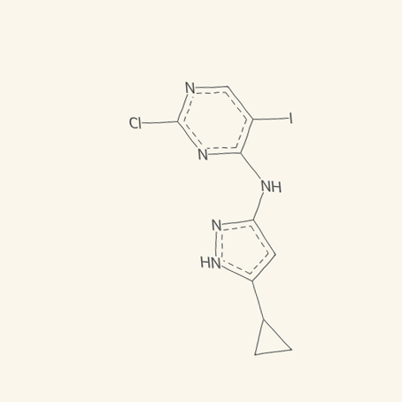 Clc1ncc(I)c(Nc2cc(C3CC3)[nH]n2)n1